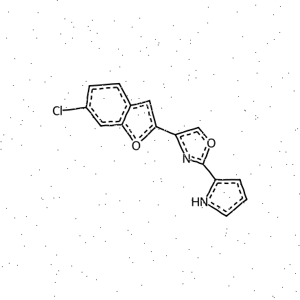 Clc1ccc2cc(-c3coc(-c4ccc[nH]4)n3)oc2c1